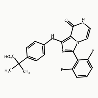 CC(C)(C(=O)O)c1ccc(Nc2nc(-c3c(F)cccc3F)n3cc[nH]c(=O)c23)cc1